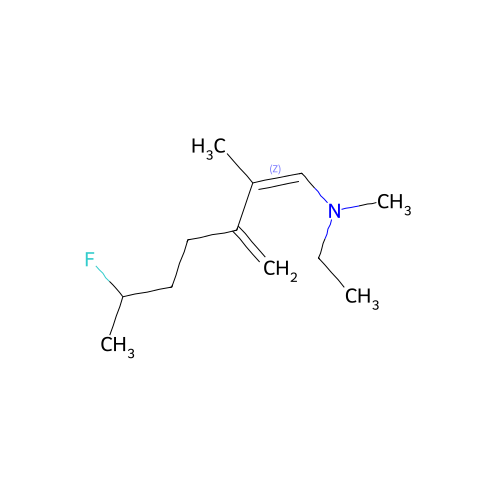 C=C(CCC(C)F)/C(C)=C\N(C)CC